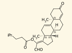 CC(C)CCC(=O)OC(C=O)=C1CC[C@H]2[C@@H]3CCC4=CC(=O)CC[C@]4(C)C3=CC[C@]12C